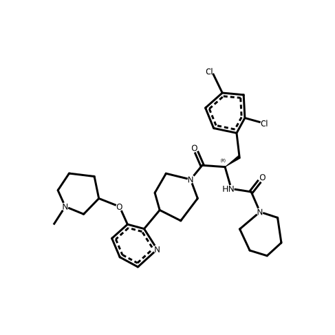 CN1CCCC(Oc2cccnc2C2CCN(C(=O)[C@@H](Cc3ccc(Cl)cc3Cl)NC(=O)N3CCCCC3)CC2)C1